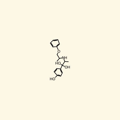 CC(COc1ccccc1)NC(C)C(O)(O)c1ccc(O)cc1